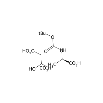 C[C@@H](NC(=O)OC(C)(C)C)C(=O)O.O=C(O)CC(O)C(=O)O